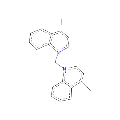 Cc1cc[n+](C[n+]2ccc(C)c3ccccc32)c2ccccc12